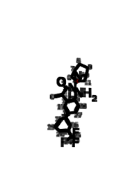 C=C(C(=O)NC1CC2CCC(C1)N2C)c1cc(-c2cccc(C(F)(F)F)c2)ccc1N